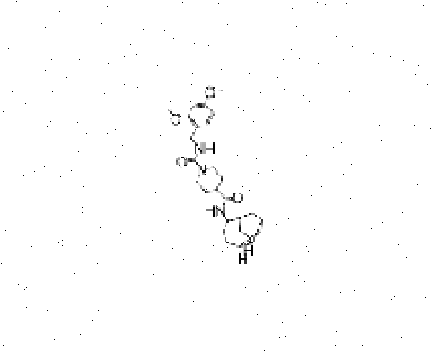 COc1ccc(CNC(=O)N2CCC(C(=O)NC3CC[C@@H]4CC5CC3C[C@@H]4C5)CC2)c(OC)c1